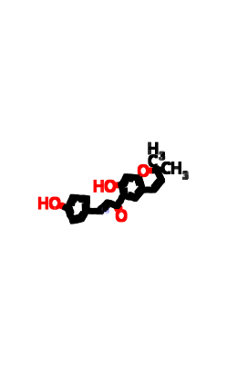 CC1(C)C=Cc2cc(C(=O)/C=C/c3ccc(O)cc3)c(O)cc2O1